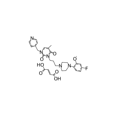 COc1cc(F)ccc1N1CCN(CCCn2c(=O)c(C)cn(Cc3ccncc3)c2=O)CC1.O=C(O)/C=C/C(=O)O